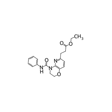 CCOC(=O)CCc1ccc2c(n1)N(C(=O)Nc1ccccc1)CCO2